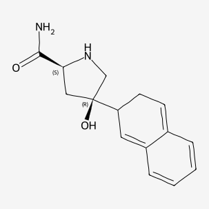 NC(=O)[C@@H]1C[C@@](O)(C2C=c3ccccc3=CC2)CN1